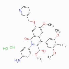 COC(=O)c1c(-c2cc(OC)c(C)c(OC)c2)c2cc(OC)c(OCc3cccnc3)cc2c(=O)n1-c1ccc(N)cc1.Cl.Cl